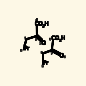 CC(C)CC(=O)C(=O)O.CC(C)CC(=O)C(=O)O